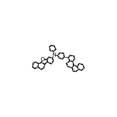 c1ccc(N(c2ccc(-c3cccc4c3ccc3ccc5ccccc5c34)cc2)c2ccc3c(c2)oc2c4ccccc4ccc32)cc1